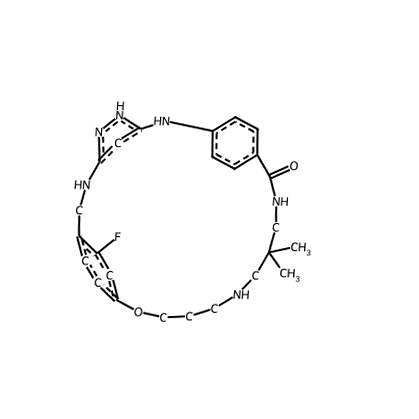 CC1(C)CNCCCOc2ccc(c(F)c2)CNc2cc([nH]n2)Nc2ccc(cc2)C(=O)NC1